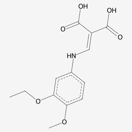 CCOc1cc(NC=C(C(=O)O)C(=O)O)ccc1OC